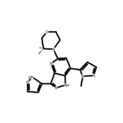 C[C@@H]1COCCN1c1cc(-c2ccnn2C)c2[nH]nc(-c3ccn[nH]3)c2n1